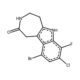 O=C1Cc2c([nH]c3c(F)c(Cl)cc(Br)c23)CCN1